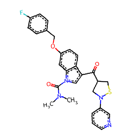 CN(C)C(=O)n1cc(C(=O)C2CSN(c3cccnc3)C2)c2ccc(OCc3ccc(F)cc3)cc21